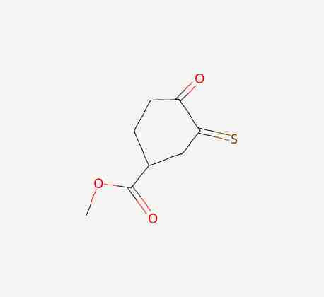 COC(=O)C1CCC(=O)C(=S)C1